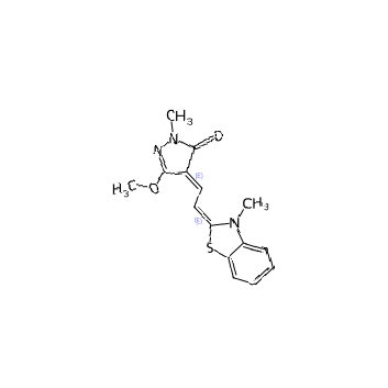 COC1=NN(C)C(=O)/C1=C/C=C1/Sc2ccccc2N1C